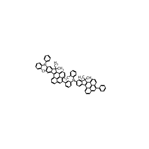 Cc1ccccc1N(c1ccccc1)c1ccc2c(c1)C(C)(C)c1c-2c2cccc3cc(-c4cccc(N(c5ccc6c(c5)C(C)(C)c5c-6c6cccc7cc(-c8ccccc8)c8cccc5c8c76)c5ccccc5C)c4)c4cccc1c4c32